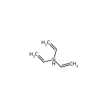 C=C[SiH](C=C)C=C